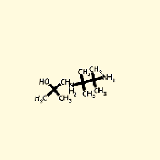 CC(C)(C)O.CC(C)(N)C(C)(C)N